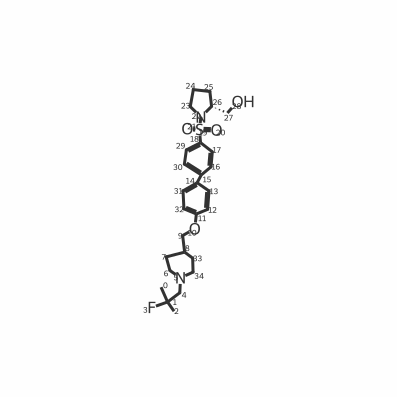 CC(C)(F)CN1CCC(COc2ccc(-c3ccc(S(=O)(=O)N4CCC[C@@H]4CO)cc3)cc2)CC1